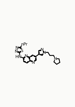 CCCc1nnc(Nc2ccc3ncc(-c4cnn(CCCN5CCCC5)c4)cc3n2)s1